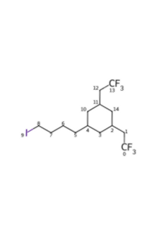 FC(F)(F)CC1CC(CCCCI)CC(CC(F)(F)F)C1